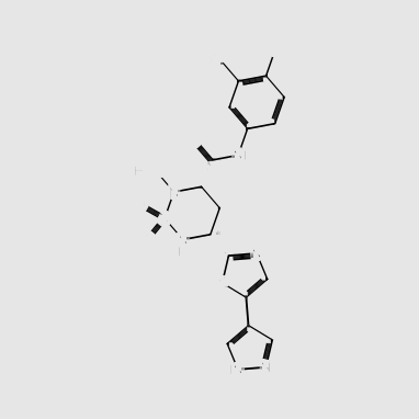 CN1[C@H](C(=O)Nc2ccc(F)c(Cl)c2)C[C@H](c2ncc(-c3cn[nH]c3)s2)NS1(=O)=O